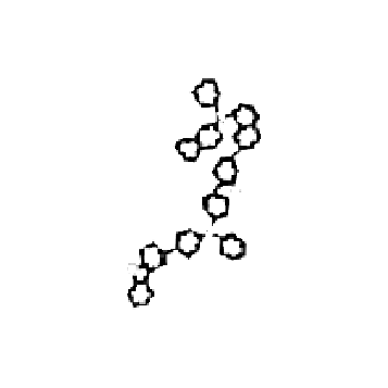 c1ccc(N(c2ccc(-c3ccc4oc5ccccc5c4c3)cc2)c2ccc3c(c2)oc2cc(-c4ccc5cccc(N(c6ccccc6)c6ccc7ccccc7c6)c5c4)ccc23)cc1